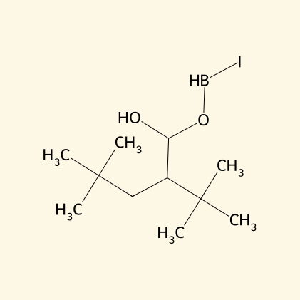 CC(C)(C)CC(C(O)OBI)C(C)(C)C